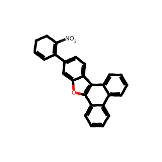 O=[N+]([O-])C1=C(c2ccc3c(c2)oc2c4ccccc4c4ccccc4c32)C=CCC1